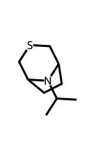 CC(C)N1C2CCC1CSC2